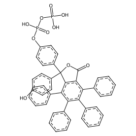 O=C1OC(c2ccc(O)cc2)(c2ccc(OP(=O)(O)OP(=O)(O)O)cc2)c2c1c(-c1ccccc1)c(-c1ccccc1)c(-c1ccccc1)c2-c1ccccc1